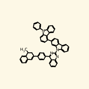 CC1CC(c2ccc(-c3nc(-n4c5ccccc5c5ccc(-c6cccc7c6c6ccccc6n7-c6ccccc6)cc54)nc4ccccc34)cc2)=Cc2ccccc21